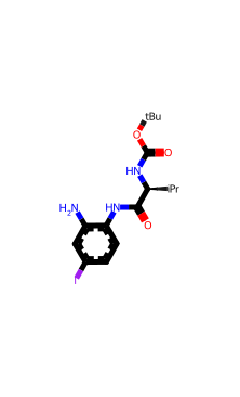 CC(C)[C@H](NC(=O)OC(C)(C)C)C(=O)Nc1ccc(I)cc1N